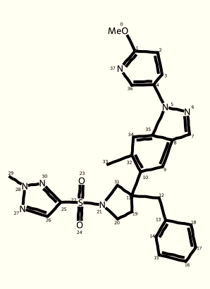 COc1ccc(-n2ncc3cc(C4(Cc5ccccc5)CCN(S(=O)(=O)c5cnn(C)n5)C4)c(C)cc32)cn1